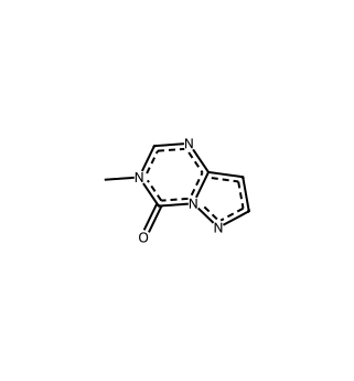 Cn1cnc2ccnn2c1=O